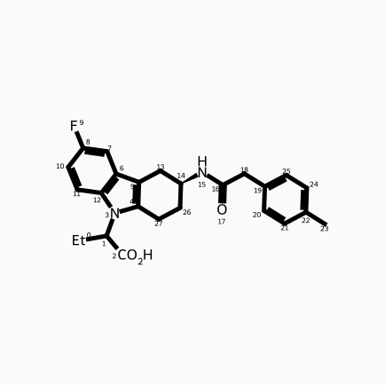 CCC(C(=O)O)n1c2c(c3cc(F)ccc31)C[C@@H](NC(=O)Cc1ccc(C)cc1)CC2